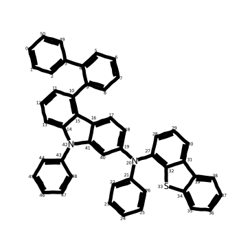 c1ccc(-c2ccccc2-c2cccc3c2c2ccc(N(c4ccccc4)c4cccc5c4sc4ccccc45)cc2n3-c2ccccc2)cc1